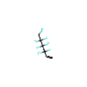 C=CC(F)(F)C(F)(F)C(F)(F)CF